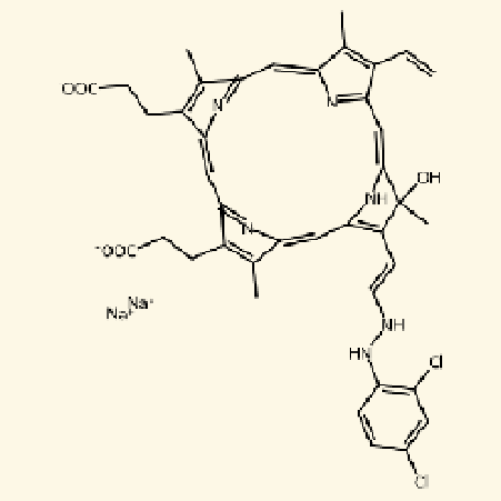 C=CC1=C(C)C2=CC3=NC(=CC4=NC(=CC5=C(C=CNNc6ccc(Cl)cc6Cl)C(C)(O)C(=CC1=N2)N5)C(C)=C4CCC(=O)[O-])C(CCC(=O)[O-])=C3C.[Na+].[Na+]